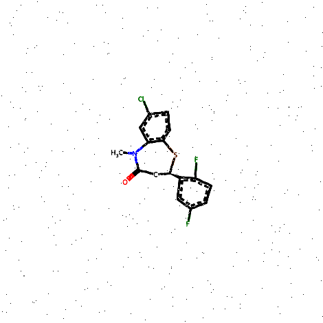 CN1C(=O)[CH][C@H](c2cc(F)ccc2F)Sc2ccc(Cl)cc21